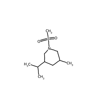 CC1CC(C(C)C)CN(S(C)(=O)=O)C1